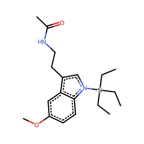 CC[Si](CC)(CC)n1cc(CCNC(C)=O)c2cc(OC)ccc21